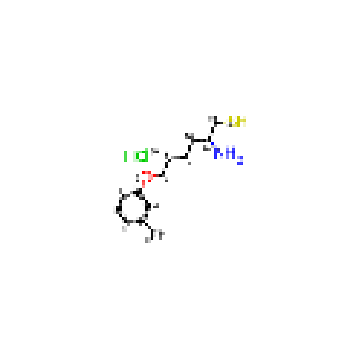 CCc1cccc(OCCCCC(N)CS)c1.Cl